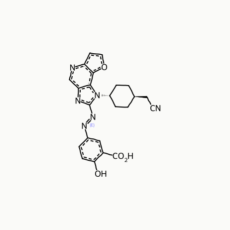 N#CC[C@H]1CC[C@H](n2c(/N=N/c3ccc(O)c(C(=O)O)c3)nc3cnc4ccoc4c32)CC1